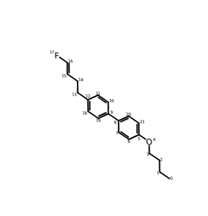 CCCCOc1ccc(-c2ccc(CCC=CF)cc2)cc1